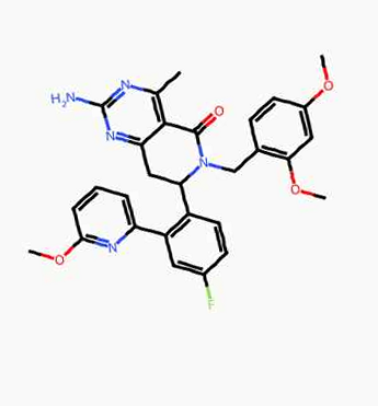 COc1ccc(CN2C(=O)c3c(C)nc(N)nc3CC2c2ccc(F)cc2-c2cccc(OC)n2)c(OC)c1